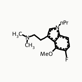 CCCn1cc(CCN(C)C)c2c(OC)c(F)ccc21